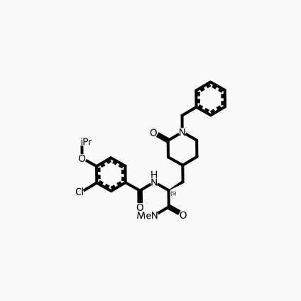 CNC(=O)[C@H](CC1CCN(Cc2ccccc2)C(=O)C1)NC(=O)c1ccc(OC(C)C)c(Cl)c1